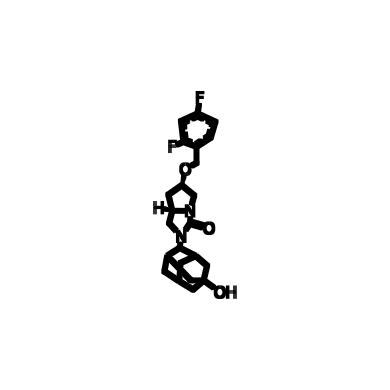 O=C1N(C2C3CC4CC2CC(O)(C4)C3)C[C@@H]2C[C@@H](OCc3ccc(F)cc3F)CN12